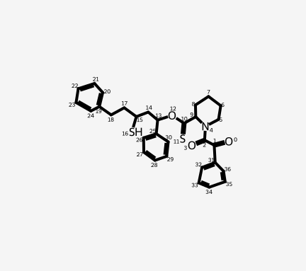 O=C(C(=O)N1CCCCC1C(=S)OC(CC(S)CCc1ccccc1)c1ccccc1)c1ccccc1